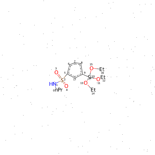 CCCNS(=O)(=O)c1cccc([Si](OCC)(OCC)OCC)c1